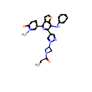 C=CC(=O)N1CC(n2cc(-c3nc(-c4ccc(=O)n(C)c4)c4ccsc4c3Nc3ccccc3)cn2)C1